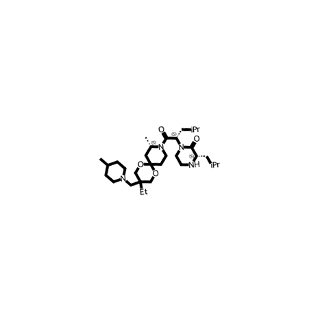 CCC1(CN2CCC(C)CC2)COC2(CCN(C(=O)[C@H](CC(C)C)N3CCN[C@@H](CC(C)C)C3=O)[C@@H](C)C2)OC1